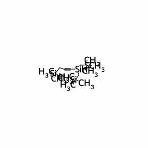 C[Si](C)(C)CC#C[SiH](C[Si](C)(C)C)C[Si](C)(C)C